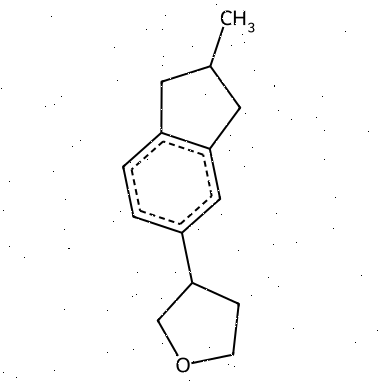 CC1Cc2ccc(C3CCOC3)cc2C1